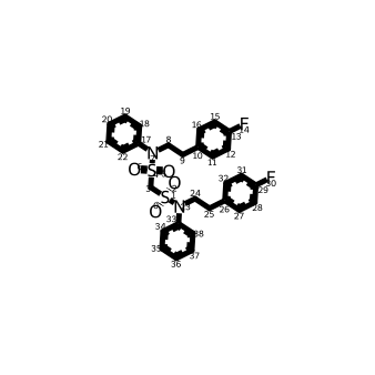 O=S(=O)(CS(=O)(=O)N(CCc1ccc(F)cc1)c1ccccc1)N(CCc1ccc(F)cc1)c1ccccc1